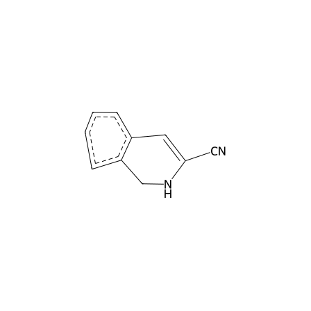 N#CC1=Cc2ccccc2CN1